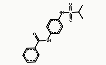 CC(C)S(=O)(=O)Nc1ccc(NC(=O)c2ccccc2)cc1